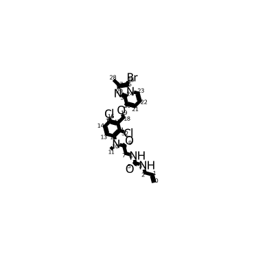 C=CCNC(=O)NCC(=O)N(C)c1ccc(Cl)c(COc2cccn3c(Br)c(C)nc23)c1Cl